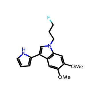 COc1cc2c(-c3ccc[nH]3)cn(CCCF)c2cc1OC